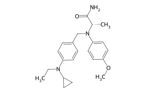 CCN(c1ccc(CN(c2ccc(OC)cc2)[C@@H](C)C(N)=O)cc1)C1CC1